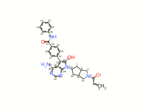 C=CC(=O)N1CC2CC(n3c(O)c(-c4ccc(C(=O)Nc5ccccc5)cc4)c4c(N)ncnc43)CC2C1